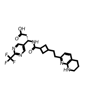 O=C(O)C[C@H](NC(=O)C1CC(CCc2ccc3c(n2)NCCC3)C1)c1cnc(C(F)(F)F)nc1